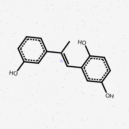 C/C(=C\c1cc(O)ccc1O)c1cccc(O)c1